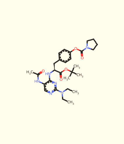 CCN(CC)c1ncc(NC(C)=O)c(N[C@@H](Cc2ccc(OC(=O)N3CCCC3)cc2)C(=O)OC(C)(C)C)n1